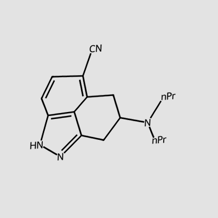 CCCN(CCC)C1Cc2n[nH]c3ccc(C#N)c(c23)C1